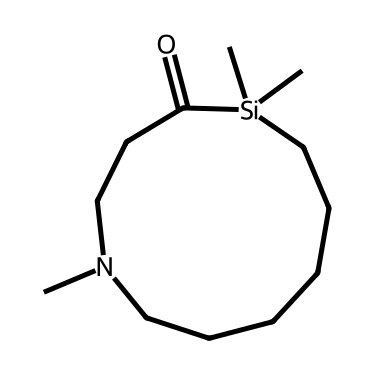 CN1CCCCCC[Si](C)(C)C(=O)CC1